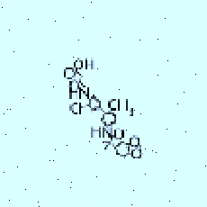 Cc1ccc(NC(=O)C2(c3ccc4c(c3)OCO4)CC2)cc1-c1ccc(NCC(=O)CC(=O)O)c(Cl)c1